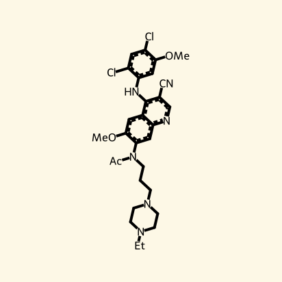 CCN1CCN(CCCN(C(C)=O)c2cc3ncc(C#N)c(Nc4cc(OC)c(Cl)cc4Cl)c3cc2OC)CC1